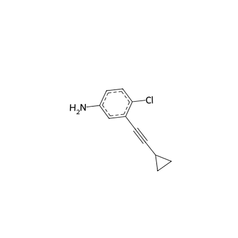 Nc1ccc(Cl)c(C#CC2CC2)c1